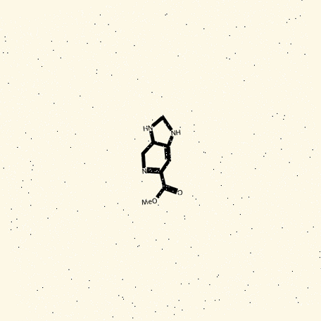 COC(=O)C1=NCC2NCNC2=C1